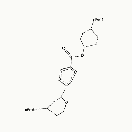 CCCCCC1CCC(OC(=O)c2ccc(C3CC(CCCCC)CCO3)cc2)CC1